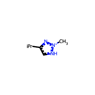 CC(C)c1c[nH][n+](C)n1